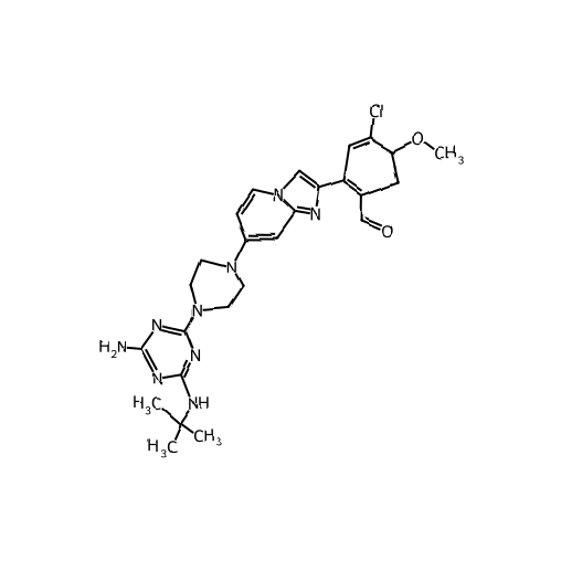 COC1CC(C=O)=C(c2cn3ccc(N4CCN(c5nc(N)nc(NC(C)(C)C)n5)CC4)cc3n2)C=C1Cl